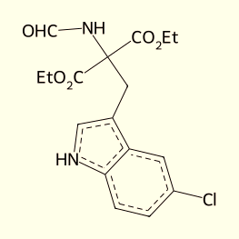 CCOC(=O)C(Cc1c[nH]c2ccc(Cl)cc12)(NC=O)C(=O)OCC